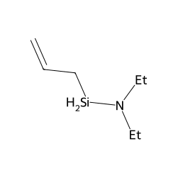 C=CC[SiH2]N(CC)CC